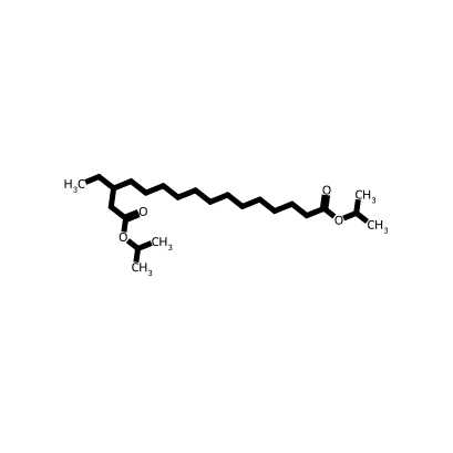 CCC(CCCCCCCCCCCCC(=O)OC(C)C)CC(=O)OC(C)C